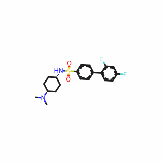 CN(C)[C@H]1CC[C@H](NS(=O)(=O)c2ccc(-c3ccc(F)cc3F)cc2)CC1